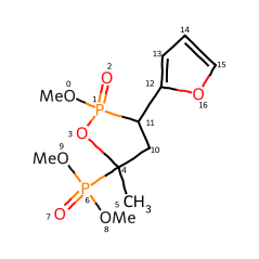 COP1(=O)OC(C)(P(=O)(OC)OC)CC1c1ccco1